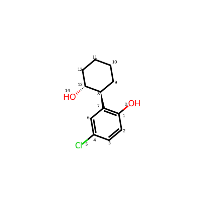 Oc1ccc(Cl)cc1[C@@H]1CCCC[C@H]1O